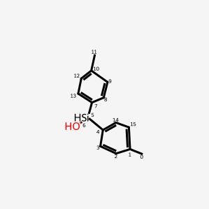 Cc1ccc([SiH](O)c2ccc(C)cc2)cc1